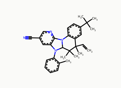 C=CC1(C)c2cc(C(C)(C)C)ccc2N2c3ncc(C#N)cc3N(c3ccccc3C)C2C1(C)C